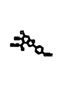 COC(=O)c1c2c(cc(Cl)c1N=O)OC(c1ccc(OC)cc1)C2